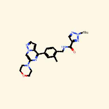 Cc1cc(-c2nc(N3CCOCC3)cn3nccc23)ccc1CNC(=O)c1cnn(C(C)(C)C)n1